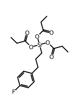 CCC(=O)O[Si](CCCc1ccc(F)cc1)(OC(=O)CC)OC(=O)CC